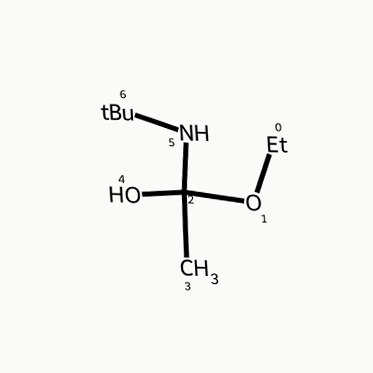 CCOC(C)(O)NC(C)(C)C